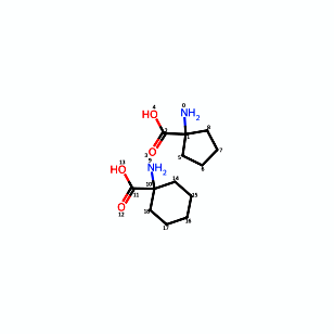 NC1(C(=O)O)CCCC1.NC1(C(=O)O)CCCCC1